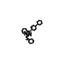 c1ccc(Sc2nc(-c3ccc(-c4ccccc4)cc3)c3ccccn23)cc1